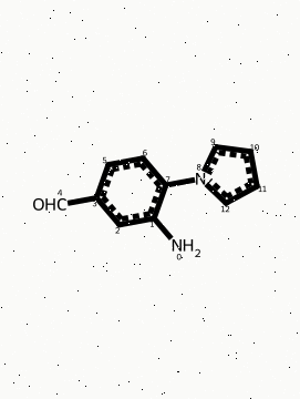 Nc1cc(C=O)ccc1-n1cccc1